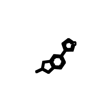 CC1Cc2ccc(-c3ccoc3)cc2C1